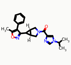 Cc1onc(C2[C@H]3CN(C(=O)c4cn(C(C)C)cn4)C[C@@H]23)c1-c1ccccc1